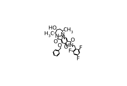 C[C@@H]1C[C@@H](O)[C@H](C)N2CN1n1cc(C(=O)NCc3c(F)cc(F)cc3F)c(=O)c(OCc3ccccc3)c1C2=O